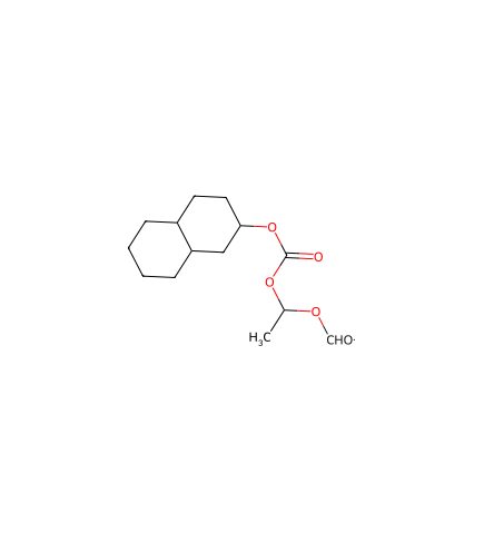 CC(O[C]=O)OC(=O)OC1CCC2CCCCC2C1